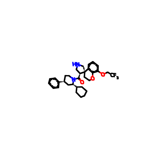 O=C([C@@H]1CNC[C@]12CCOc1c(OCC(F)(F)F)cccc12)N1CC[C@@H](c2ccccc2)C[C@H]1C1CCCCC1